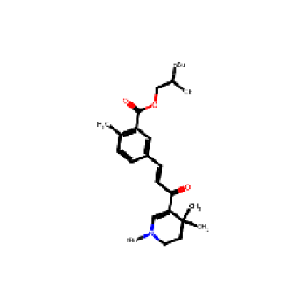 CCCCC(CC)COC(=O)c1cc(/C=C/C(=O)C2=CN(C(C)(C)C)CCC2(C)C)ccc1C